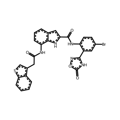 O=C(Cc1csc2ccccc12)Nc1cccc2cc(C(=O)Nc3ccc(Br)cc3-c3noc(=O)[nH]3)[nH]c12